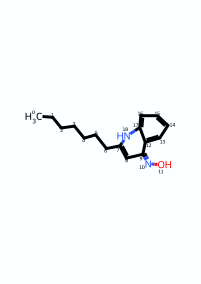 CCCCCCCc1c/c(=N/O)c2ccccc2[nH]1